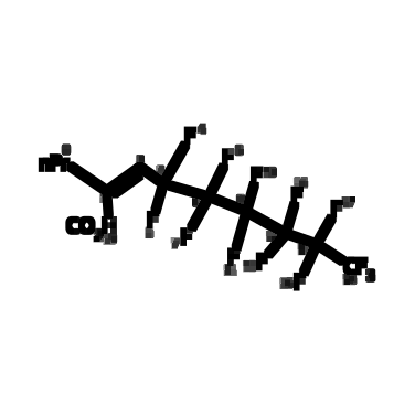 CCCC(=CC(F)(F)C(F)(F)C(F)(F)C(F)(F)C(F)(F)C(F)(F)F)C(=O)O